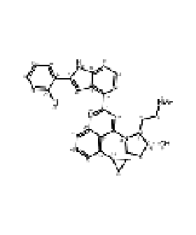 CNCC[C@H]1[C@H](O)CCN1c1nc(-c2ccnc3[nH]c(-c4ccccc4Cl)cc23)nc2cncc(C3CC3)c12